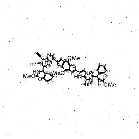 C#C[C@@H](c1ncc(-c2cc3c(OC)c4sc(-c5cnc([C@H](C)N(CCC)C(=O)C(NC(=O)OC)c6ccccc6)[nH]5)cc4c(OC)c3s2)[nH]1)N(CCC)C(=O)C(NC(=O)OC)c1ccccc1